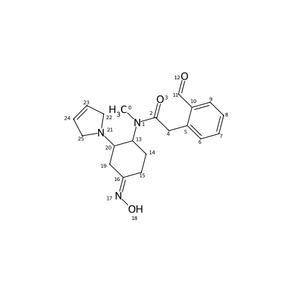 CN(C(=O)Cc1ccccc1C=O)C1CCC(=NO)CC1N1CC=CC1